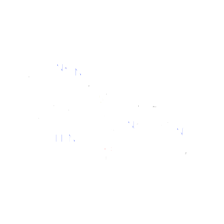 Cc1nnc2sc(C(=O)N3CCC(N(C)C)C3)c(N)c2c1C